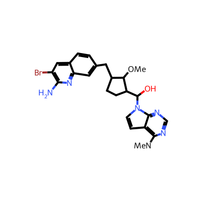 CNc1ncnc2c1ccn2C(O)C1CCC(Cc2ccc3cc(Br)c(N)nc3c2)C1OC